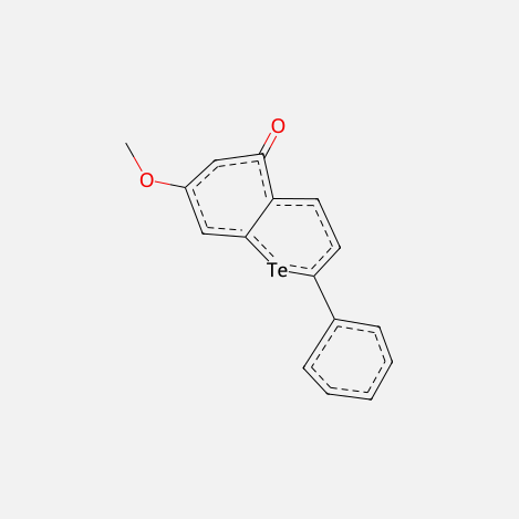 COc1cc2[te]c(-c3ccccc3)ccc-2c(=O)c1